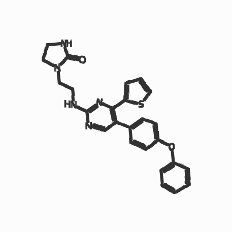 O=C1NCCN1CCNc1ncc(-c2ccc(Oc3ccccc3)cc2)c(-c2cccs2)n1